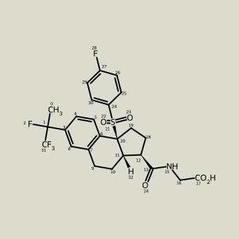 CC(F)(c1ccc2c(c1)CC[C@H]1[C@H](C(=O)NCC(=O)O)CC[C@@]21S(=O)(=O)c1ccc(F)cc1)C(F)(F)F